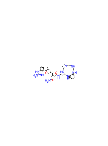 C[C@H](C(CC(N)=O)CC(=O)NCC[C@H]1CN[C@@H]2CCCC[C@H]2NCCN[C@@H](C)CN(C)[C@H](C)CN1)[C@@H](C)C[C@H](C)C(=O)c1cccc(NC(=N)N)c1